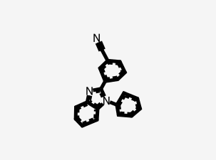 N#Cc1cccc(-c2nc3ccccc3n2-c2ccccc2)c1